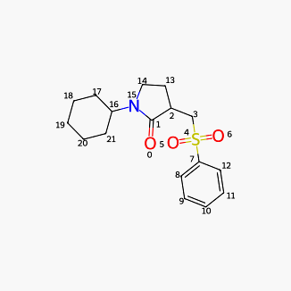 O=C1C(CS(=O)(=O)c2ccccc2)CCN1C1CCCCC1